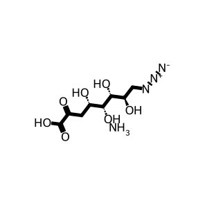 N.[N-]=[N+]=NC[C@@H](O)[C@@H](O)[C@H](O)[C@@H](O)CC(=O)C(=O)O